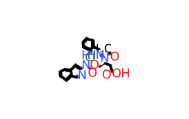 CC(=O)N(NCc1ccccc1Cl)[C@H](COC(=O)Nc1cc2ccccc2cn1)CC(=O)O